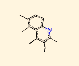 Cc1ccc2nc(C)c(C)c(C)c2c1C